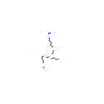 N=C(N)NCCC[C@H](NC(=O)[C@H](CCCCN)NC(=O)[C@H](CO)NC(=O)[C@@H](N)CCCNC(=N)N)C(=O)O